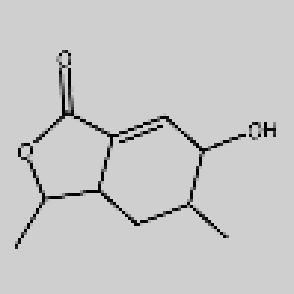 CC1CC2C(=CC1O)C(=O)OC2C